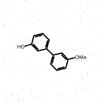 COc1cccc(-c2cccc(O)c2)c1